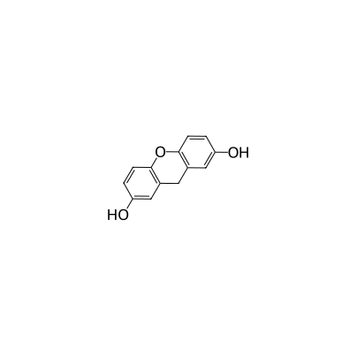 Oc1ccc2c(c1)Cc1cc(O)ccc1O2